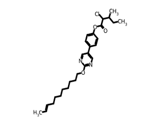 CC=CCCCCCCCCOc1ncc(-c2ccc(OC(=O)C(Cl)C(C)CC)cc2)cn1